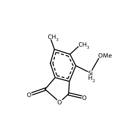 CO[SiH2]c1c(C)c(C)cc2c1C(=O)OC2=O